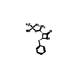 CC(O[Si](C)(C)C(C)(C)C)[C@@H]1C(=O)N[C@@H]1Sc1ccccc1